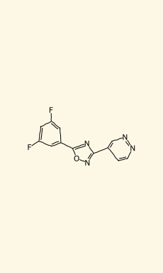 Fc1cc(F)cc(-c2nc(-c3ccnnc3)no2)c1